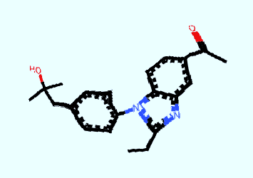 CCc1nc2cc(C(C)=O)ccc2n1-c1ccc(CC(C)(C)O)cc1